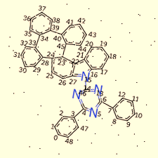 c1ccc(-c2nc(-c3ccccc3)nc(-n3c4ccccc4c4c5c(ccc43)-c3ccccc3-c3ccccc3-c3ccccc3-5)n2)cc1